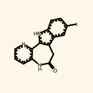 O=C1Cc2c([nH]c3ccc(I)cc23)-c2ncccc2N1